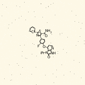 CC(C)n1c(=O)[nH]c2nccc(Oc3ccc(-c4nc(-c5ccccc5)sc4C(N)=O)cc3F)c21